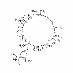 C=C1[C@H](C)C[C@H](C)/C=C/C=C/C=C(\C)[C@@H](OC)C[C@@H]2CC[C@@H](C)[C@@](O)(O2)C(=O)C(=O)N2CCCC[C@H]2C(=O)O[C@H]([C@H](C)C[C@@H]2CC[C@@H](OP(C)(=O)CC(C)C)[C@H](OC)C2)CC(=O)[C@H](C)/C=C(\C)[C@@H](O)[C@H]1C